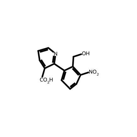 O=C(O)c1cccnc1-c1cccc([N+](=O)[O-])c1CO